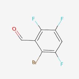 O=Cc1c(F)c(F)cc(F)c1Br